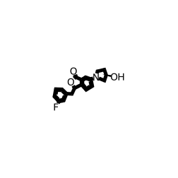 O=C1OC(Cc2cccc(F)c2)c2ccc(N3CC[C@@H](O)C3)cc21